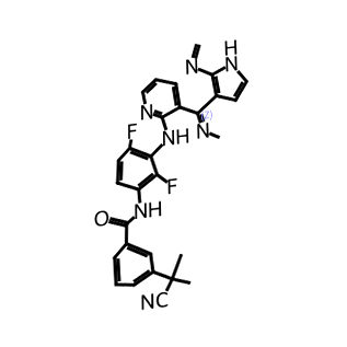 C=Nc1[nH]ccc1/C(=N\C)c1cccnc1Nc1c(F)ccc(NC(=O)c2cccc(C(C)(C)C#N)c2)c1F